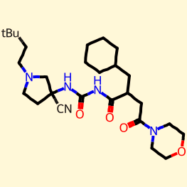 CC(C)(C)CCN1CCC(C#N)(NC(=O)NC(=O)C(CC(=O)N2CCOCC2)CC2CCCCC2)C1